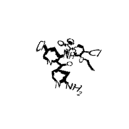 CCOC1=C(Cl)C=CS(S(=O)(=O)Nc2cc(Cl)cnc2C(=O)c2ccnc(N)c2)=C1